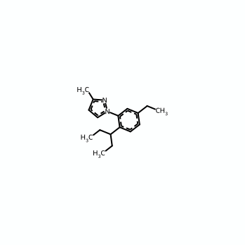 CCc1ccc(C(CC)CC)c(-n2ccc(C)n2)c1